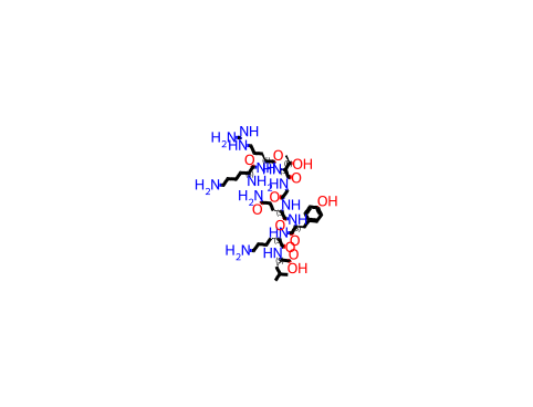 CC(C)C[C@H](NC(=O)[C@H](CCCCN)NC(=O)[C@H](Cc1ccc(O)cc1)NC(=O)[C@H](CCC(N)=O)NC(=O)CNC(=O)[C@@H](NC(=O)[C@H](CCCNC(=N)N)NC(=O)[C@@H](N)CCCCN)[C@@H](C)O)C(=O)O